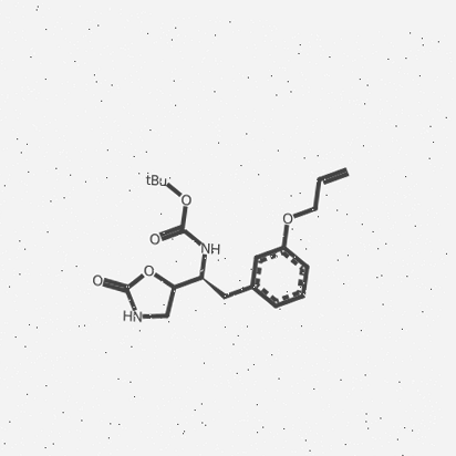 C=CCOc1cccc(C[C@H](NC(=O)OC(C)(C)C)C2CNC(=O)O2)c1